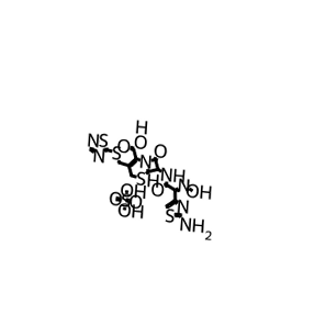 Nc1nc(C(=NO)C(=O)NC2C(=O)N3C(C(=O)O)=C(CSc4ncns4)CS[C@@H]23)cs1.O=S(=O)(O)O